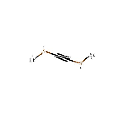 CCSC#CSCC